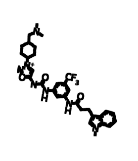 CN(C)CC1CCC([n+]2cc([N-]C(=O)Nc3cc(NC(=O)CCc4cn(C)c5ccccc45)cc(C(F)(F)F)c3)on2)CC1